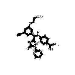 C#Cc1cc(OCCOC(C)=O)cc(C(Nc2ccc(C(=N)N)cc2)c2nn(-c3ncccn3)c(=O)[nH]2)c1